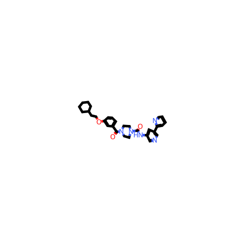 O=C(Nc1cncc(-c2ccccn2)c1)N1CCN(C(=O)c2cccc(OCCC3CCCCC3)c2)CC1